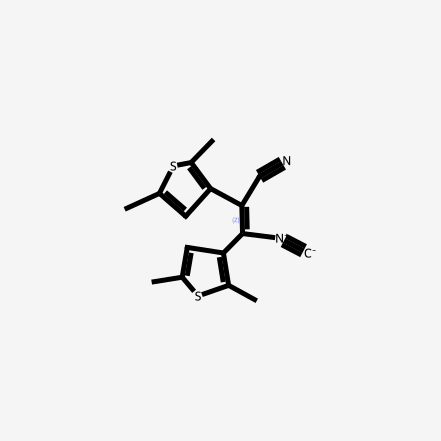 [C-]#[N+]/C(=C(\C#N)c1cc(C)sc1C)c1cc(C)sc1C